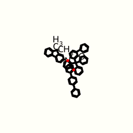 CC1(C)c2ccccc2-c2ccc(N(c3ccc(-c4ccc(-c5ccccc5)cc4)cc3)c3ccc4c(oc5ccccc54)c3C3(c4ccccc4)c4ccccc4-c4ccccc43)cc21